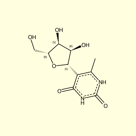 Cc1[nH]c(=O)[nH]c(=O)c1[C@@H]1O[C@H](CO)[C@@H](O)[C@H]1O